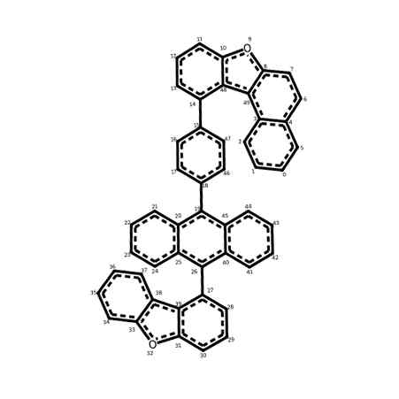 c1ccc2c(c1)ccc1oc3cccc(-c4ccc(-c5c6ccccc6c(-c6cccc7oc8ccccc8c67)c6ccccc56)cc4)c3c12